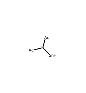 CC(=O)[N]([SnH])C(C)=O